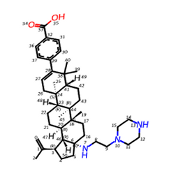 C=C(C)[C@@H]1CC[C@]2(NCCN3CCNCC3)CC[C@]3(C)[C@H](CC[C@@H]4[C@@]5(C)CC=C(c6ccc(C(=O)O)cc6)C(C)(C)[C@@H]5CC[C@]43C)[C@@H]12